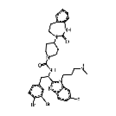 CN(C)CCCn1c(C(Cc2ccc(Br)c(Br)c2)NC(=O)N2CCC(N3CCc4ccccc4NC3=O)CC2)nc2ccc(F)cc21